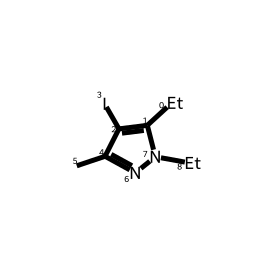 CCc1c(I)c(C)nn1CC